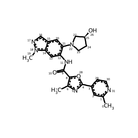 Cc1cc(-c2nc(C)c(C(=O)Nc3cc4c(cnn4C)cc3N3CC[C@H](O)C3)o2)ccn1